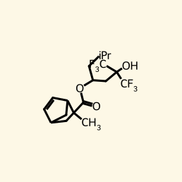 CC(C)CC(CC(O)(C(F)(F)F)C(F)(F)F)OC(=O)C1(C)CC2C=CC1C2